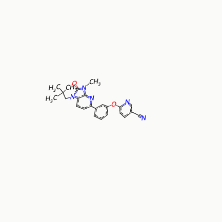 Cn1c(=O)n(CC(C)(C)C)c2ccc(-c3cccc(Oc4ccc(C#N)cn4)c3)nc21